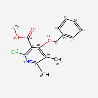 Cc1nc(Cl)c(C(=O)OC(C)C)c(OCc2ccccc2)c1C